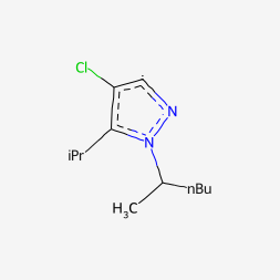 CCCCC(C)n1n[c]c(Cl)c1C(C)C